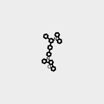 c1ccc(-c2cc(-c3ccc(-c4ccc(-n5c6ccccc6c6c7oc8ccccc8c7ccc65)cc4)cc3)cc(-n3c4ccccc4c4ccccc43)c2)cc1